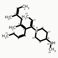 C/C=C(/C)C/C(C)=C(/C=C\CC)C(=C/C)\N1CCC(NC)CC1